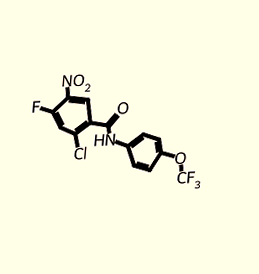 O=C(Nc1ccc(OC(F)(F)F)cc1)c1cc([N+](=O)[O-])c(F)cc1Cl